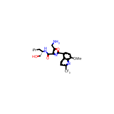 COc1ccc(-c2nc(C(=O)N[C@H](CO)CC(C)C)c(CN)o2)c2ccc(C(F)(F)F)nc12